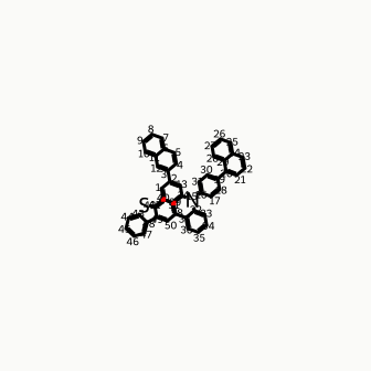 c1cc(-c2ccc3ccccc3c2)cc(N(c2ccc(-c3cccc4ccccc34)cc2)c2ccccc2-c2ccc3sc4ccccc4c3c2)c1